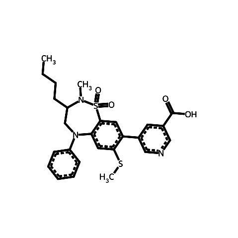 CCCCC1CN(c2ccccc2)c2cc(SC)c(-c3cncc(C(=O)O)c3)cc2S(=O)(=O)N1C